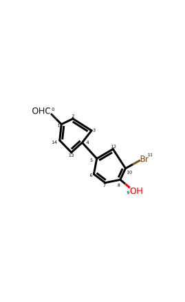 O=Cc1ccc(-c2ccc(O)c(Br)c2)cc1